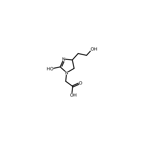 O=C(O)CN1CC(CCO)N=C1O